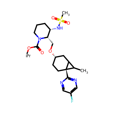 CC(C)OC(=O)N1CCC[C@H](NS(C)(=O)=O)[C@@H]1CO[C@H]1CC[C@@]2(c3ncc(F)cn3)C(C)C2C1